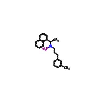 Cc1cccc(CCCN(P)[C@H](C)c2cccc3ccccc23)c1